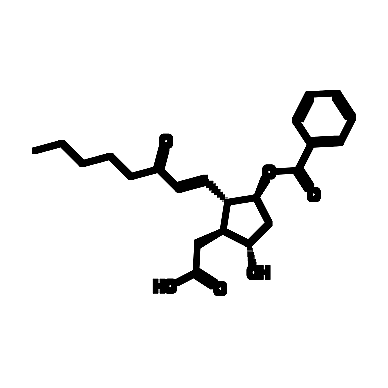 CCCCCC(=O)C=C[C@H]1[C@H](CC(=O)O)[C@@H](O)C[C@@H]1OC(=O)c1ccccc1